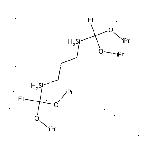 CCC(OC(C)C)(OC(C)C)[SiH2]CCC[SiH2]C(CC)(OC(C)C)OC(C)C